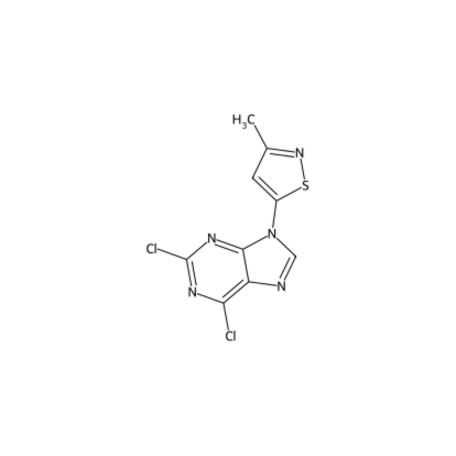 Cc1cc(-n2cnc3c(Cl)nc(Cl)nc32)sn1